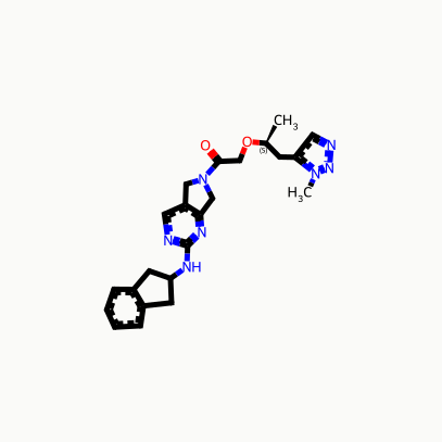 C[C@@H](Cc1cnnn1C)OCC(=O)N1Cc2cnc(NC3Cc4ccccc4C3)nc2C1